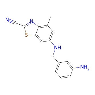 Cc1cc(NCc2cccc(N)c2)cc2sc(C#N)nc12